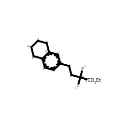 CCOC(=O)C(F)(F)CCc1ccc2c(c1)CCCC2